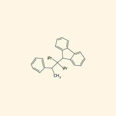 CC(C)C(C(C)C)(C(C)c1ccccc1)C1c2ccccc2-c2ccccc21